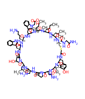 CCCC[C@H]1C(=O)N(C)[C@@H](CCCC)C(=O)N[C@@H](CC(C)C)C(=O)N[C@H](C(=O)NCC(N)=O)CSCC(=O)N[C@@H](Cc2ccc(O)cc2)C(=O)N(C)[C@@H](C)C(=O)N[C@@H](CC(N)=O)C(=O)N2CCC[C@H]2C(=O)N[C@@H](CN)C(=O)N[C@@H](CC(C)C)C(=O)N2C[C@H](O)C[C@H]2C(=O)N[C@@H](Cc2c[nH]c3ccccc23)C(=O)N[C@@H](CCCCN)C(=O)N[C@@H](Cc2cn(CC(=O)O)c3ccccc23)C(=O)N1C